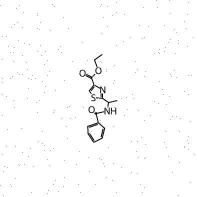 CCOC(=O)c1csc(C(C)NC(=O)c2ccccc2)n1